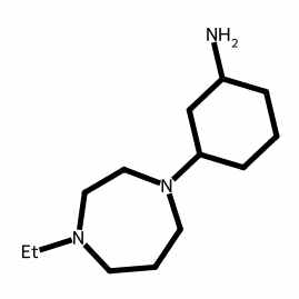 CCN1CCCN(C2CCCC(N)C2)CC1